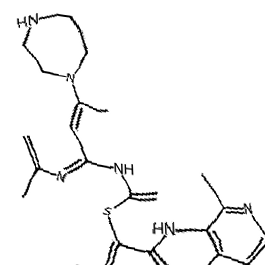 C=C(C)/N=C(\C=C(/C)N1CCNCC1)NC(=C)S/C(=C\C)C(=C)Nc1c(Cl)ccnc1C